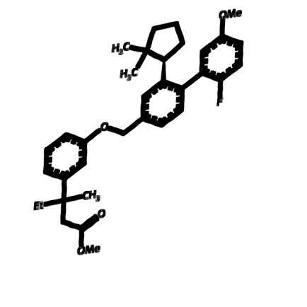 CCC(C)(CC(=O)OC)c1cccc(OCc2ccc(-c3cc(OC)ccc3F)c([C@@H]3CCCC3(C)C)c2)c1